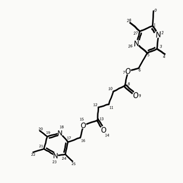 Cc1nc(C)c(COC(=O)CCCC(=O)OCc2nc(C)c(C)nc2C)nc1C